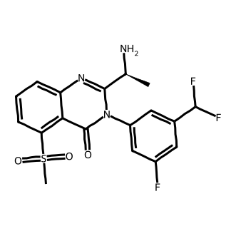 C[C@H](N)c1nc2cccc(S(C)(=O)=O)c2c(=O)n1-c1cc(F)cc(C(F)F)c1